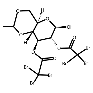 CC1OC[C@H]2O[C@@H](O)[C@H](OC(=O)C(Br)(Br)Br)[C@@H](OC(=O)C(Br)(Br)Br)[C@@H]2O1